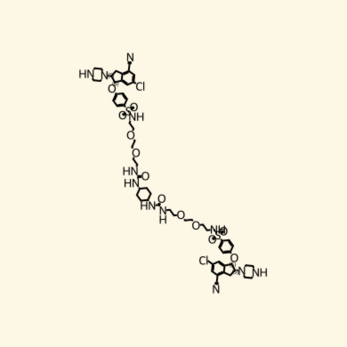 N#Cc1cc(Cl)cc2c1C[C@H](N1CCNCC1)[C@H]2Oc1ccc(S(=O)(=O)NCCOCCOCCNC(=O)N[C@H]2CC[C@H](NC(=O)NCCOCCOCCNS(=O)(=O)c3ccc(O[C@H]4c5cc(Cl)cc(C#N)c5C[C@@H]4N4CCNCC4)cc3)CC2)cc1